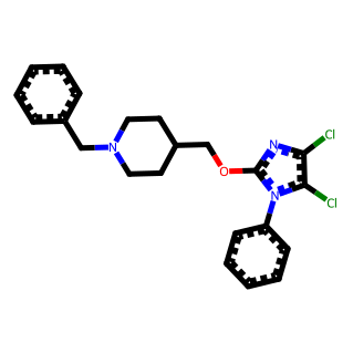 Clc1nc(OCC2CCN(Cc3ccccc3)CC2)n(-c2ccccc2)c1Cl